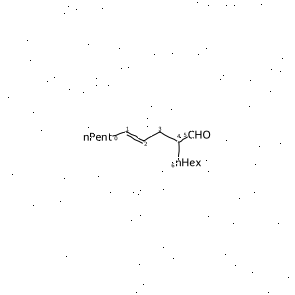 CCCCCC=CCC(C=O)CCCCCC